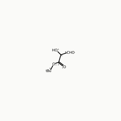 CC(C)(C)OC(=O)C(O)[C]=O